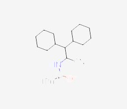 CC(C)(C)[S@+]([O-])NC(C#N)C(C1CCCCC1)C1CCCCC1